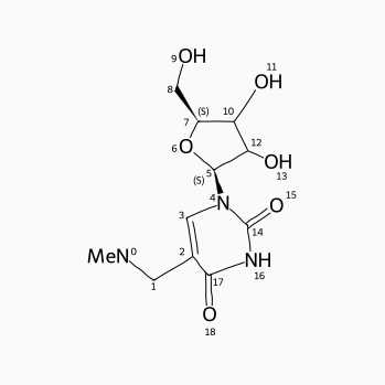 CNCc1cn([C@H]2O[C@@H](CO)C(O)C2O)c(=O)[nH]c1=O